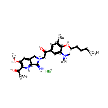 Br.CCCN(C)c1cc(C(=O)CN2Cc3cc(OCC)c(C(=O)NC)nc3C2=N)cc(C(C)(C)C)c1OCCCCC(=O)O